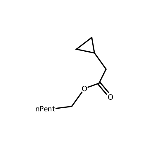 CCCCCCOC(=O)CC1CC1